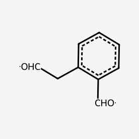 O=[C]Cc1ccccc1[C]=O